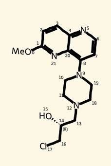 COc1ccc2nccc(N3CCN(C[C@@H](O)CCl)CC3)c2n1